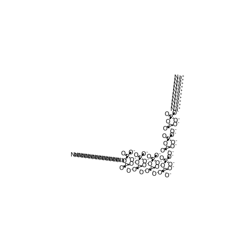 O=P([O-])([O-])OP(=O)([O-])[O-].O=P([O-])([O-])OP(=O)([O-])[O-].O=P([O-])([O-])OP(=O)([O-])[O-].O=P([O-])([O-])OP(=O)([O-])[O-].O=P([O-])([O-])OP(=O)([O-])[O-].O=P([O-])([O-])OP(=O)([O-])[O-].[Na+].[Na+].[Na+].[Na+].[Na+].[Na+].[Na+].[Na+].[Na+].[Na+].[Na+].[Na+].[Na+].[Na+].[Na+].[Na+].[Na+].[Na+].[Na+].[Na+].[Na+].[Na+].[Na+].[Na+]